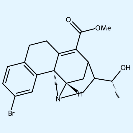 COC(=O)C1=C2CCc3ccc(Br)cc3[C@@]23CCN2CC([C@@H](C)O)C1C[C@H]23